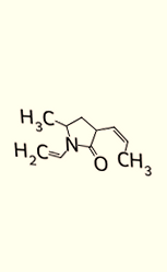 C=CN1C(=O)C(/C=C\C)CC1C